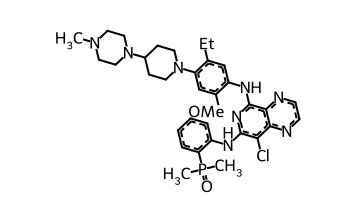 CCc1cc(Nc2nc(Nc3ccccc3P(C)(C)=O)c(Cl)c3nccnc23)c(OC)cc1N1CCC(N2CCN(C)CC2)CC1